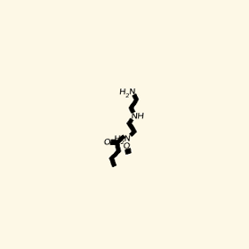 C=O.CCCC(C)=O.NCCNCCN